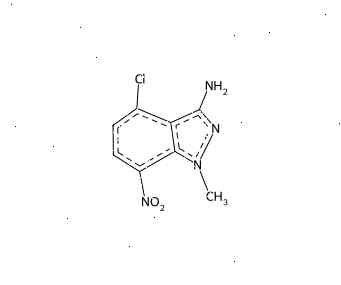 Cn1nc(N)c2c(Cl)ccc([N+](=O)[O-])c21